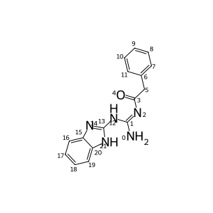 N/C(=N/C(=O)Cc1ccccc1)Nc1nc2ccccc2[nH]1